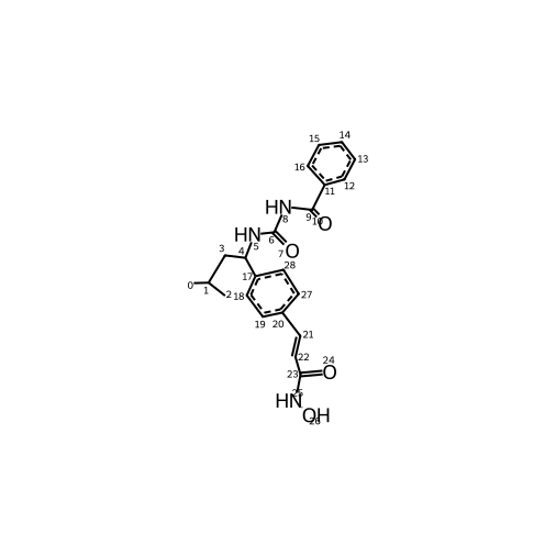 CC(C)CC(NC(=O)NC(=O)c1ccccc1)c1ccc(C=CC(=O)NO)cc1